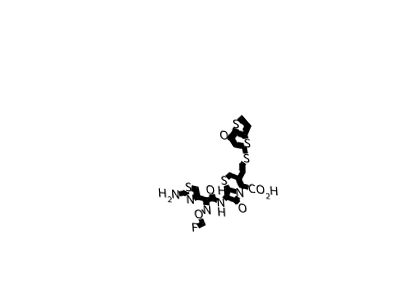 Nc1nc(C(=NOCF)C(=O)NC2C(=O)N3C(C(=O)O)=C(C=CSc4cc(=O)c5sccc5s4)CS[C@@H]23)cs1